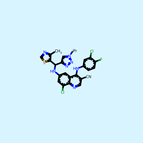 Cc1ncsc1C(Nc1cc(Cl)c2ncc(C#N)c(Nc3ccc(F)c(Cl)c3)c2c1)c1cn(C(C)C)nn1